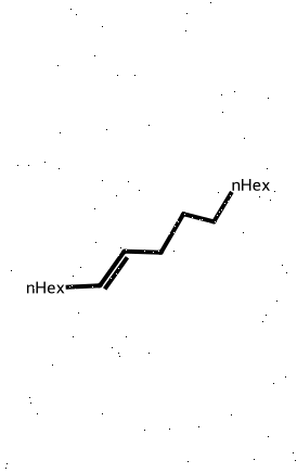 [CH2]CCCCCCCCC=CCCCCCC